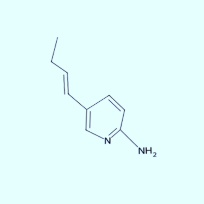 CC/C=C/c1ccc(N)nc1